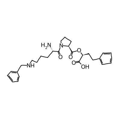 N[C@@H](CCCCNCc1ccccc1)C(=O)N1CCC[C@H]1C(=O)O[C@@H](CCc1ccccc1)C(=O)O